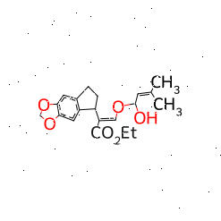 CCOC(=O)/C(=C/OC(O)C=C(C)C)C1CCc2cc3c(cc21)OCO3